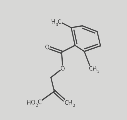 C=C(COC(=O)c1c(C)cccc1C)C(=O)O